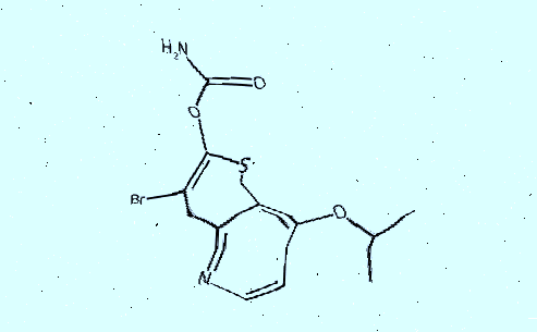 CC(C)Oc1ccnc2c(Br)c(OC(N)=O)sc12